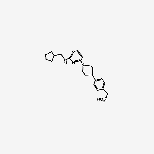 O=C(O)Cc1ccc(C2CCN(c3ccnc(NCC4CCCC4)n3)CC2)cc1